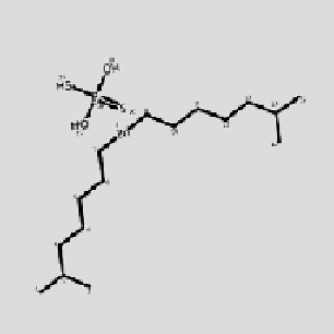 CC(C)CCCC[CH2][Zn][CH2]CCCCC(C)C.OP(O)(=S)S